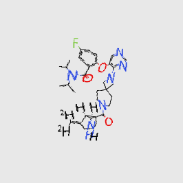 [2H]C([2H])=C1C[C@@H]2CC[C@H]1[C@@H](C(=O)N1CCC3(CC1)CN(c1ncncc1Oc1ccc(F)cc1C(=O)N(C(C)C)C(C)C)C3)N2